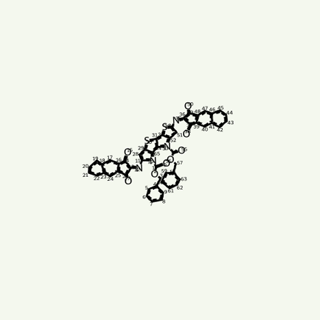 O=C(OCc1ccccc1)n1c(N=c2c(=O)c3cc4ccccc4cc3c2=O)cc2sc3c4sc(N=c5c(=O)c6cc7ccccc7cc6c5=O)cc4n(C(=O)OCc4ccccc4)c3c21